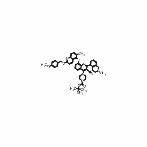 COc1ccc(COc2ccc3c(Oc4cccc5c(N6CCN(C(=O)OC(C)(C)C)CC6)c(C#N)c(-c6cccc7c6CCN(C)C7)nc45)c(C)ccc3n2)cc1